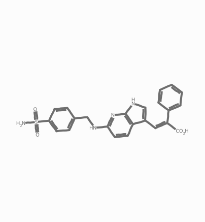 NS(=O)(=O)c1ccc(CNc2ccc3c(/C=C(/C(=O)O)c4ccccc4)c[nH]c3n2)cc1